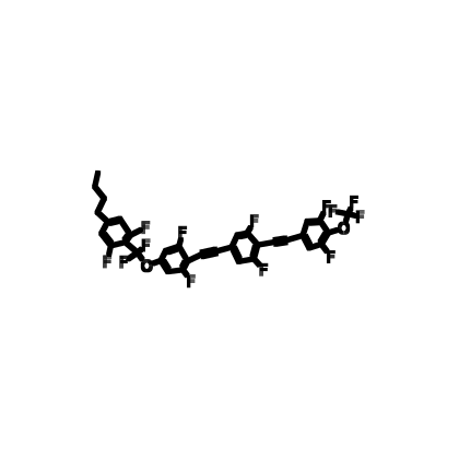 CCCCc1cc(F)c(C(F)(F)Oc2cc(F)c(C#Cc3cc(F)c(C#Cc4cc(F)c(OC(F)(F)F)c(F)c4)c(F)c3)c(F)c2)c(F)c1